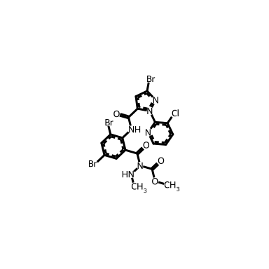 CNN(C(=O)OC)C(=O)c1cc(Br)cc(Br)c1NC(=O)c1cc(Br)nn1-c1ncccc1Cl